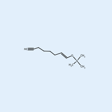 C#CCCCC/C=C/O[Si](C)(C)C